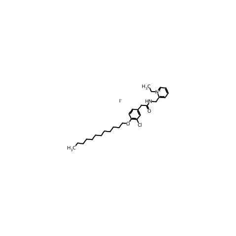 CCCCCCCCCCCCOc1ccc(CC(=O)NCc2cccc[n+]2CC)cc1Cl.[I-]